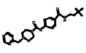 CC(C)(C)CCNC(=O)c1ccc(OC(=O)N2CCN(Cc3ccncn3)CC2)cc1